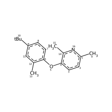 Cc1ccc(Oc2ccc(C(C)(C)C)cc2C)c(C)n1